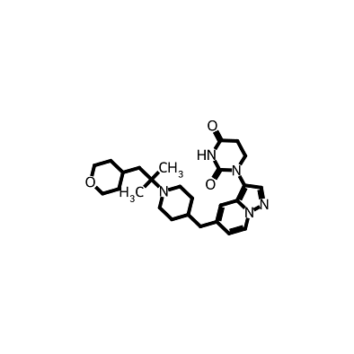 CC(C)(CC1CCOCC1)N1CCC(Cc2ccn3ncc(N4CCC(=O)NC4=O)c3c2)CC1